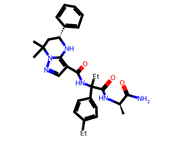 CCc1ccc(C(CC)(NC(=O)c2cnn3c2N[C@@H](c2ccccc2)CC3(C)C)C(=O)N[C@H](C)C(N)=O)cc1